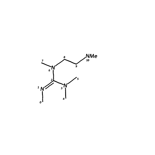 CN=C(N(C)C)N(C)CCNC